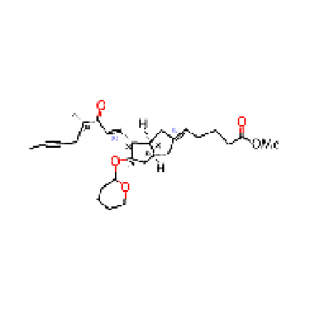 CC#CC[C@H](C)C(=O)/C=C/[C@@H]1[C@H]2C/C(=C/CCCC(=O)OC)C[C@H]2C[C@H]1OC1CCCCO1